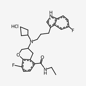 CCNC(=O)c1ccc(F)c2c1CC(N(CCCc1c[nH]c3ccc(F)cc13)C1CCC1)CO2.Cl